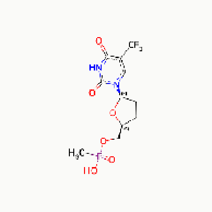 CP(=O)(O)OC[C@@H]1CC[C@H](n2cc(C(F)(F)F)c(=O)[nH]c2=O)O1